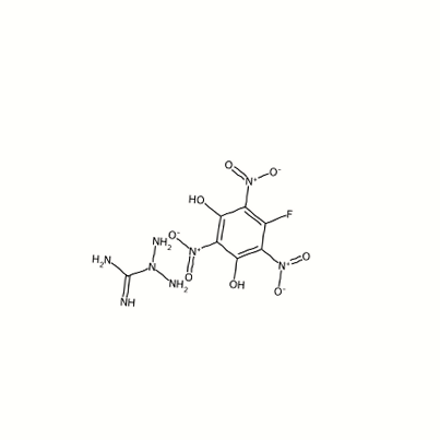 N=C(N)N(N)N.O=[N+]([O-])c1c(O)c([N+](=O)[O-])c(F)c([N+](=O)[O-])c1O